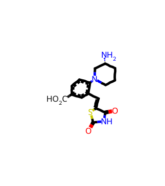 N[C@@H]1CCCN(c2ccc(C(=O)O)cc2/C=C2\SC(=O)NC2=O)C1